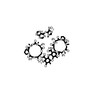 Cc1c2oc3c(C)ccc(C(=O)N[C@@H]4C(=O)N[C@H](C(C)C)C(=O)N5CCC[C@H]5C(=O)N(C)CC(=O)N(C)[C@@H](C(C)C)C(=O)O[C@@H]4C)c3nc-2c(C(=O)N[C@@H]2C(=O)N[C@H](C(C)C)C(=O)N3CCC[C@H]3C(=O)N(C)CC(=O)N(C)[C@@H](C(C)C)C(=O)O[C@@H]2C)c(N)c1=O.Cn1cnc([N+](=O)[O-])c1Sc1ncnc2nc[nH]c12